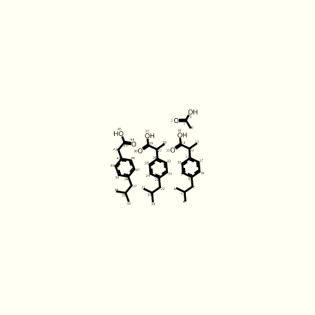 CC(=O)O.CC(C)Cc1ccc(C(C)C(=O)O)cc1.CC(C)Cc1ccc(C(C)C(=O)O)cc1.CC(C)Cc1ccc(CC(=O)O)cc1